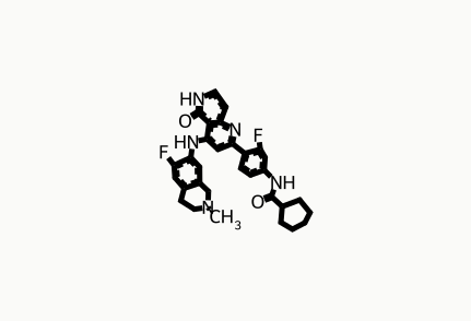 CN1CCc2cc(F)c(Nc3cc(-c4ccc(NC(=O)C5CCCCC5)cc4F)nc4cc[nH]c(=O)c34)cc2C1